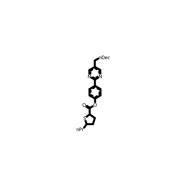 CCCCCCCCCCCc1cnc(-c2ccc(OC(=O)C3CCC(CCC)S3)cc2)nc1